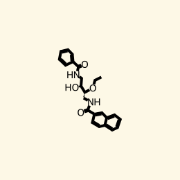 CCO[C@H](CNC(=O)c1ccc2ccccc2c1)[C@@H](O)CNC(=O)c1ccccc1